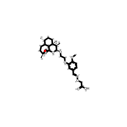 COc1ccc(/C=N/OCC(=O)O)cc1OCCO[C@H]1O[C@@H]2O[C@@]3(C)CCC4[C@H](C)CC[C@@H]([C@H]1C)[C@]42OO3